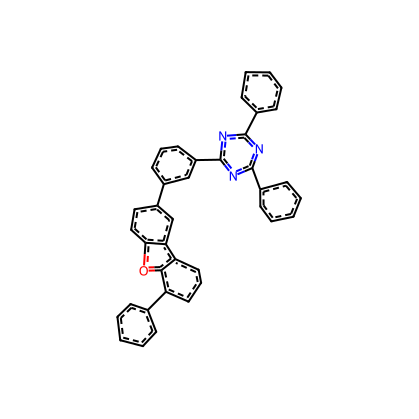 c1ccc(-c2nc(-c3ccccc3)nc(-c3cccc(-c4ccc5oc6c(-c7ccccc7)cccc6c5c4)c3)n2)cc1